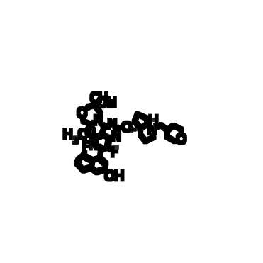 COc1nc(-c2cc(O)cc3cccc(F)c23)c(F)c2nc(OC[C@]34CCC[C@H]3N(CC3CCOCC3)CCC4)nc(N3CCOC[C@@](C)(O)C3)c12